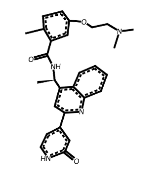 Cc1ccc(OCCN(C)C)cc1C(=O)N[C@H](C)c1cc(-c2cc[nH]c(=O)c2)nc2ccccc12